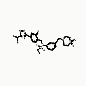 CCS(=O)(=O)N(Cc1ccc(-c2nnc(C(F)F)o2)cc1F)c1cccc(CN2CCS(=O)(=O)CC2)c1